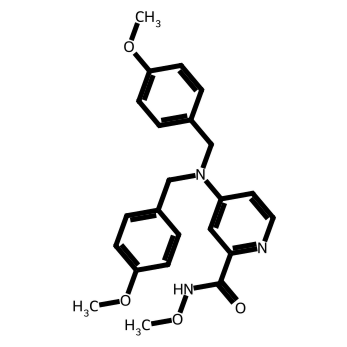 CONC(=O)c1cc(N(Cc2ccc(OC)cc2)Cc2ccc(OC)cc2)ccn1